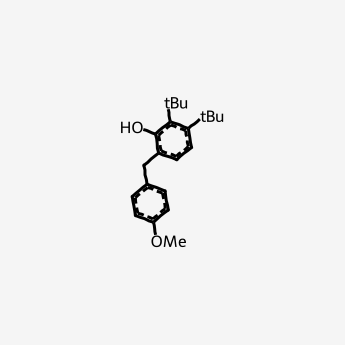 COc1ccc(Cc2ccc(C(C)(C)C)c(C(C)(C)C)c2O)cc1